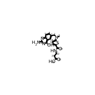 CN(Cc1ccc2nc(N)nc(O)c2c1)c1ccc(C(=O)NCCC(=O)O)s1